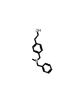 CN(Cc1ccccc1)Cc1ccc(CCO)cc1